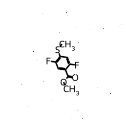 COC(=O)c1cc(F)c(SC)cc1F